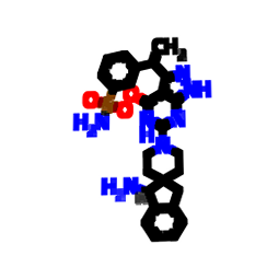 C=C(c1cccc(S(N)(=O)=O)c1)c1n[nH]c2nc(N3CCC4(CC3)Cc3ccccc3[C@H]4N)[nH]c(=O)c12